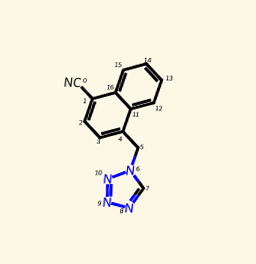 N#Cc1ccc(Cn2cnnn2)c2ccccc12